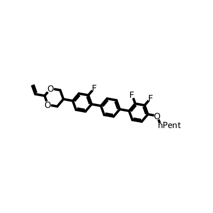 C=CC1OCC(c2ccc(-c3ccc(-c4ccc(OCCCCC)c(F)c4F)cc3)c(F)c2)CO1